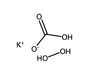 O=C([O-])O.OO.[K+]